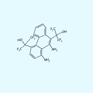 Nc1ccc(C(O)(C(F)(F)F)C(F)(F)F)c2c1c(N)c(C(O)(C(F)(F)F)C(F)(F)F)c1ccccc12